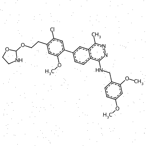 COc1ccc(CNc2nnc(C)c3cc(-c4cc(Cl)c(CCOC5NCCO5)cc4OC)ccc23)c(OC)c1